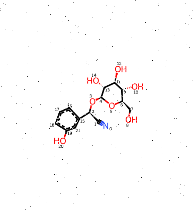 N#C[C@H](O[C@@H]1O[C@H](CO)[C@@H](O)[C@H](O)[C@H]1O)c1cccc(O)c1